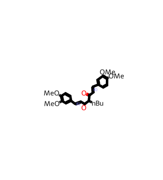 CCCCC(C(=O)/C=C/c1ccc(OC)c(OC)c1)C(=O)/C=C/c1ccc(OC)c(OC)c1